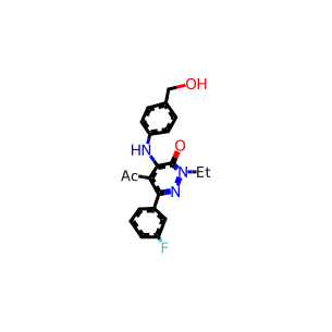 CCn1nc(-c2cccc(F)c2)c(C(C)=O)c(Nc2ccc(CO)cc2)c1=O